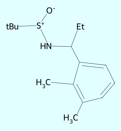 CCC(N[S+]([O-])C(C)(C)C)c1cccc(C)c1C